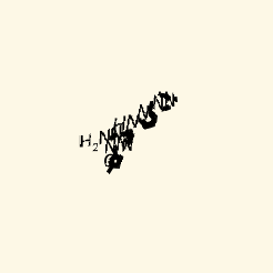 Cc1ccc(-c2nc(N)nc3c(Nc4cccc(CN5CCN(C)CC5)n4)cnn23)o1